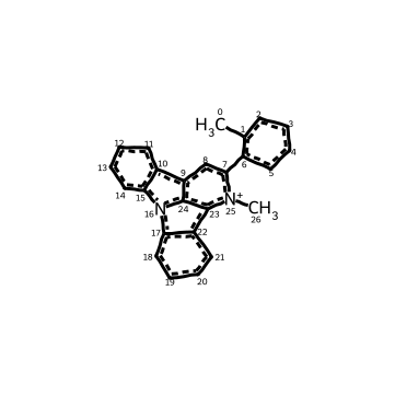 Cc1ccccc1-c1cc2c3ccccc3n3c4ccccc4c(c23)[n+]1C